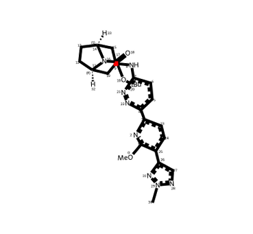 COc1nc(-c2ccc(NC3C[C@H]4CC[C@@H](C3)N4C(=O)OC(C)(C)C)nn2)ccc1-c1cnn(C)n1